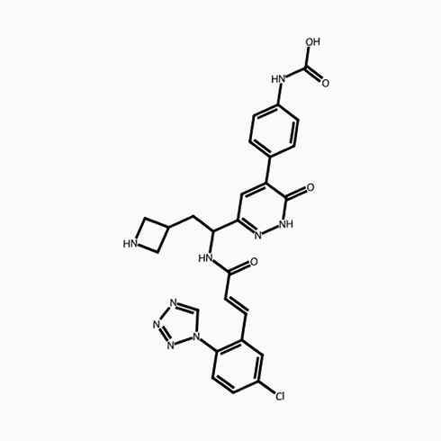 O=C(O)Nc1ccc(-c2cc(C(CC3CNC3)NC(=O)C=Cc3cc(Cl)ccc3-n3cnnn3)n[nH]c2=O)cc1